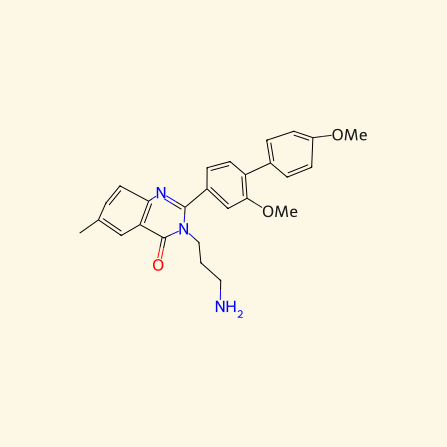 COc1ccc(-c2ccc(-c3nc4ccc(C)cc4c(=O)n3CCCN)cc2OC)cc1